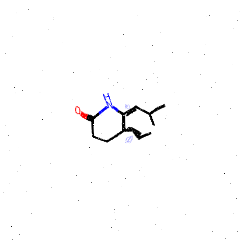 C/C=C1/CCC(=O)N/C1=C/C(C)C